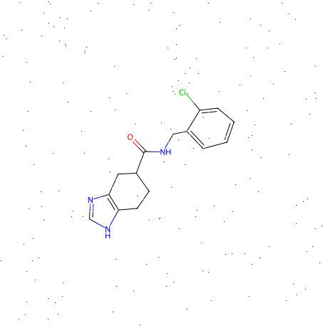 O=C(NCc1ccccc1Cl)C1CCc2[nH]cnc2C1